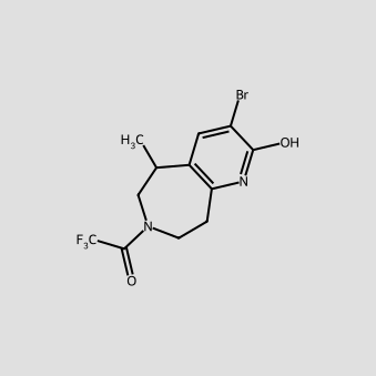 CC1CN(C(=O)C(F)(F)F)CCc2nc(O)c(Br)cc21